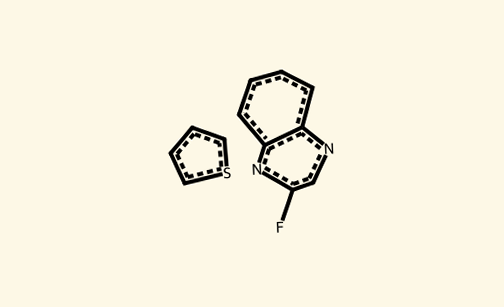 Fc1cnc2ccccc2n1.c1ccsc1